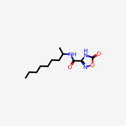 CCCCCCCC(C)NC(=O)c1noc(=O)[nH]1